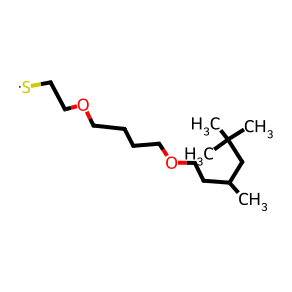 CC(CCOCCCCOCC[S])CC(C)(C)C